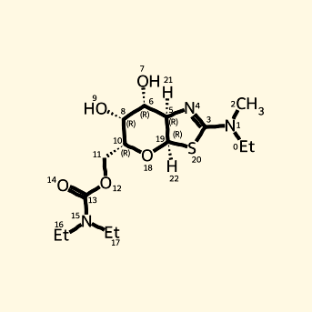 CCN(C)C1=N[C@@H]2[C@@H](O)[C@@H](O)[C@@H](COC(=O)N(CC)CC)O[C@@H]2S1